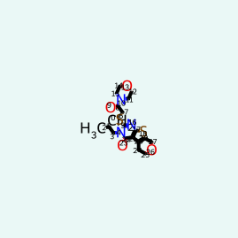 C=C(C)Cn1c(SCC(=O)N2CCOCC2)nc2sc3c(c2c1=O)CCOC3